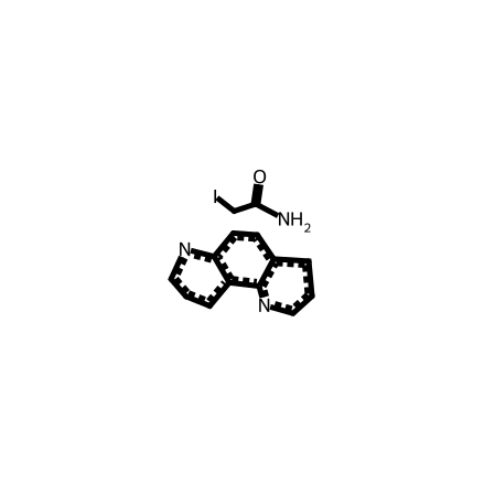 NC(=O)CI.c1cnc2c(c1)ccc1ncccc12